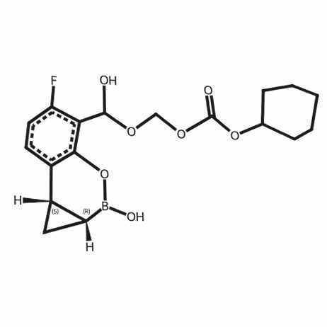 O=C(OCOC(O)c1c(F)ccc2c1OB(O)[C@@H]1C[C@H]21)OC1CCCCC1